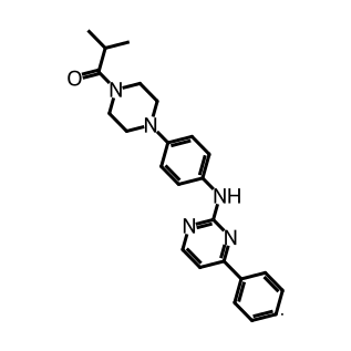 CC(C)C(=O)N1CCN(c2ccc(Nc3nccc(-c4cc[c]cc4)n3)cc2)CC1